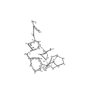 NC(=O)Cn1cc(Nc2nccc(C3=CC4CCC(C3)N4C(=O)[C@@H]3CC3(F)F)n2)cn1